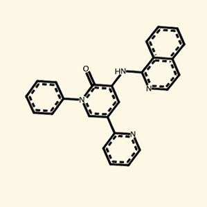 O=c1c(Nc2nccc3ccccc23)cc(-c2ccccn2)cn1-c1ccccc1